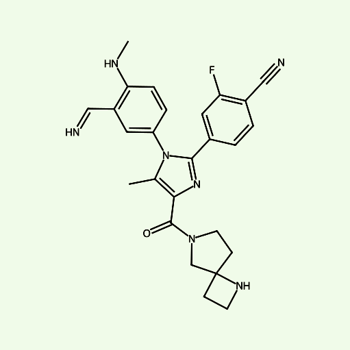 CNc1ccc(-n2c(-c3ccc(C#N)c(F)c3)nc(C(=O)N3CCC4(CCN4)C3)c2C)cc1C=N